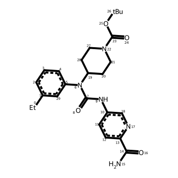 CCc1cccc(N(C(=O)Nc2ccc(C(N)=O)nc2)C2CCN(C(=O)OC(C)(C)C)CC2)c1